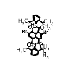 CC(C)c1cccc(C(C)C)c1N1C(=O)c2cc(Br)c3c4c(c(Br)cc(c24)C1=O)C(=O)N(c1c(C(C)C)cccc1C(C)C)C3=O